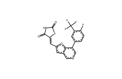 O=C1NC(=O)C(=Cc2cc3cncc(-c4ccc(F)c(C(F)(F)F)c4)c3o2)S1